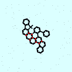 CC1(C)c2ccccc2-c2cccc(N(c3cccc(-c4cccc5ccccc45)c3)c3cccc(-c4ccccc4)c3-c3ccccc3-c3ccccc3)c21